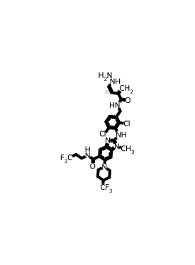 C=C(/C=C\NN)C(=O)NCc1ccc(Cl)c(Nc2nc3cc(C(=O)NCCC(F)(F)F)c(N4CCC(C(F)(F)F)CC4)cc3n2C)c1Cl